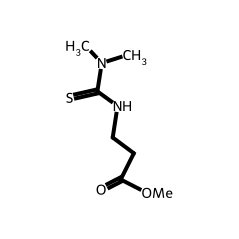 COC(=O)CCNC(=S)N(C)C